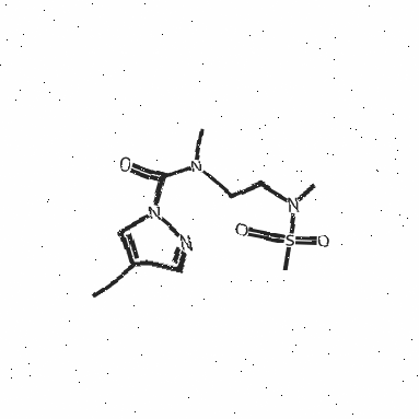 Cc1cnn(C(=O)N(C)CCN(C)S(C)(=O)=O)c1